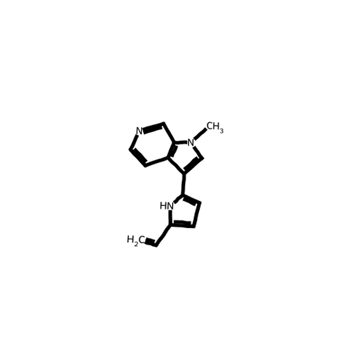 C=Cc1ccc(-c2cn(C)c3cnccc23)[nH]1